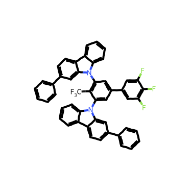 Fc1cc(-c2cc(-n3c4ccccc4c4ccc(-c5ccccc5)cc43)c(C(F)(F)F)c(-n3c4ccccc4c4ccc(-c5ccccc5)cc43)c2)cc(F)c1F